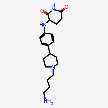 NCCCCN1CCC(c2ccc(NC3CCC(=O)NC3=O)cc2)CC1